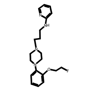 FCCOc1ccccc1N1CCN(CCCNc2ccccn2)CC1